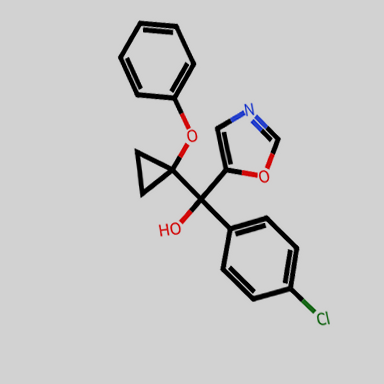 OC(c1ccc(Cl)cc1)(c1cnco1)C1(Oc2ccccc2)CC1